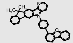 CC1(C)c2ccccc2-c2cc3c(cc21)c1ncccc1n3-c1ccc(-c2cccc3c2oc2ccccc23)cc1